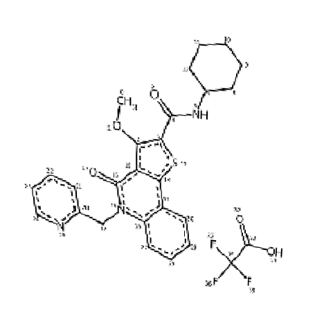 COc1c(C(=O)NC2CCCCC2)sc2c1c(=O)n(Cc1ccccn1)c1ccccc21.O=C(O)C(F)(F)F